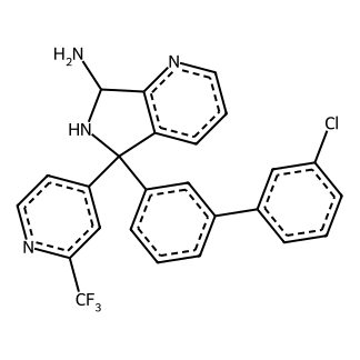 NC1NC(c2cccc(-c3cccc(Cl)c3)c2)(c2ccnc(C(F)(F)F)c2)c2cccnc21